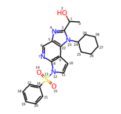 CC(O)c1nc2cnc3c(ccn3S(=O)(=O)c3ccccc3)c2n1C1CCCCC1